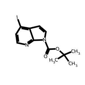 CC(C)(C)OC(=O)n1ccc2c(I)ccnc21